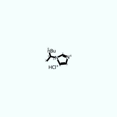 CCCCC(C)n1ccnc1.Cl